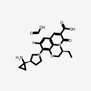 CC[C@H]1COc2c(N3CC[C@@H](C4(N)CC4)C3)c(F)cc3cc(C(=O)O)c(=O)n1c23.O=CO